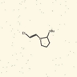 CCC=CN1CCCC1CCCC